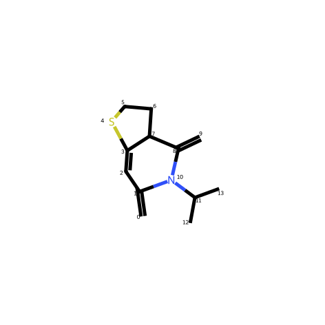 C=C1C=C2SCCC2C(=C)N1C(C)C